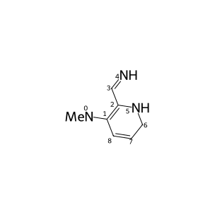 CNC1=C(C=N)NCC=C1